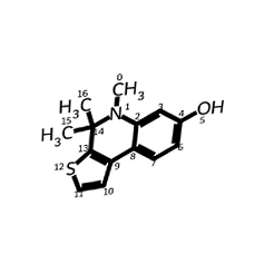 CN1c2cc(O)ccc2-c2ccsc2C1(C)C